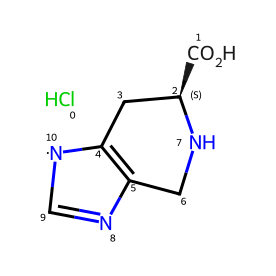 Cl.O=C(O)[C@@H]1CC2=C(CN1)N=C[N]2